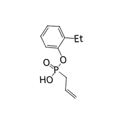 C=CCP(=O)(O)Oc1ccccc1CC